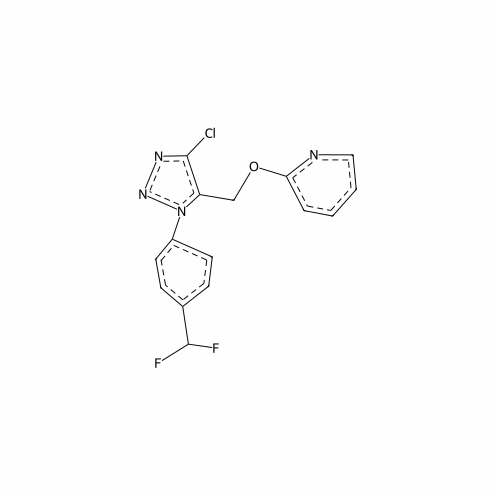 FC(F)c1ccc(-n2nnc(Cl)c2COc2ccccn2)cc1